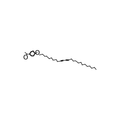 CCCCCCCCCCCCC#CC#CCCCCCCCCCOc1ccc(C(C)=O)cc1